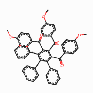 COc1ccc(C(=O)c2c(C(=O)c3ccc(OC)cc3)c(-c3ccccc3)c(-c3ccccc3)c(-c3ccccc3)c2C(=O)c2ccc(OC)cc2)cc1